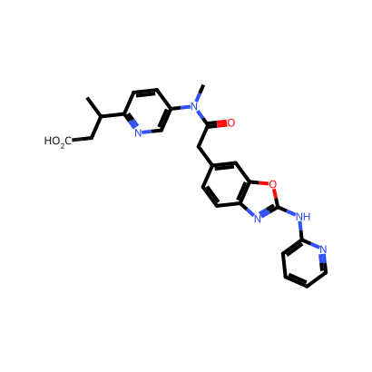 CC(CC(=O)O)c1ccc(N(C)C(=O)Cc2ccc3nc(Nc4ccccn4)oc3c2)cn1